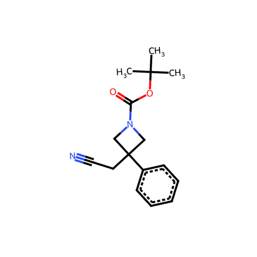 CC(C)(C)OC(=O)N1CC(CC#N)(c2ccccc2)C1